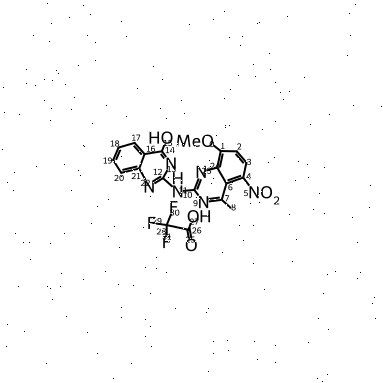 COc1ccc([N+](=O)[O-])c2c(C)nc(Nc3nc(O)c4ccccc4n3)nc12.O=C(O)C(F)(F)F